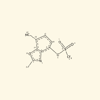 Cc1nc2c(OS(=O)(=O)C(F)(F)F)ccc(C#N)c2o1